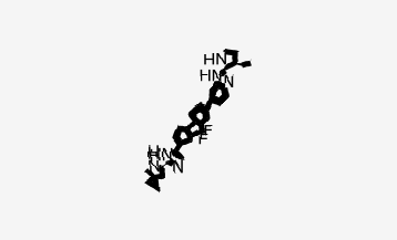 CC[C@@H]1CCN[C@@H]1c1nc2ccc(-c3ccc4c(c3)C(F)(F)c3cc(-c5cnc([C@@H]6CC7(CC7)CN6)[nH]5)ccc3-4)cc2[nH]1